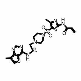 C=CC(=O)Nc1nc(C)c(S(=O)(=O)N2CCN(C[C@H](C)Nc3ncnc4c(C)csc34)CC2)s1